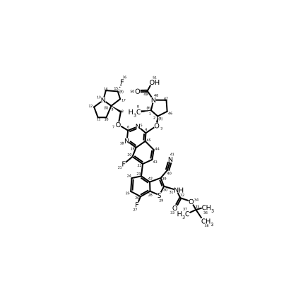 C[C@@H]1[C@H](Oc2nc(OC[C@@]34CCCN3C[C@H](F)C4)nc3c(F)c(-c4ccc(F)c5sc(NC(=O)OC(C)(C)C)c(C#N)c45)ccc23)CCN1C(=O)O